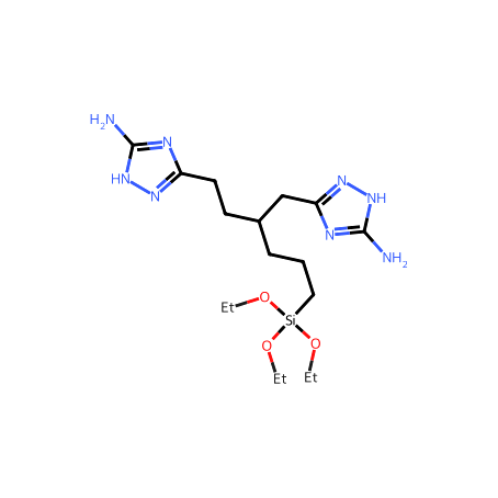 CCO[Si](CCCC(CCc1n[nH]c(N)n1)Cc1n[nH]c(N)n1)(OCC)OCC